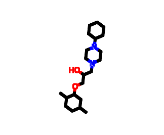 CC1CCC(C)C(OCC(O)CN2CCN(C3CCCCC3)CC2)C1